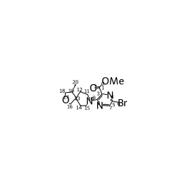 COC(=O)c1nc(Br)cnc1N1CCC2(CC1)COC[C@H]2C